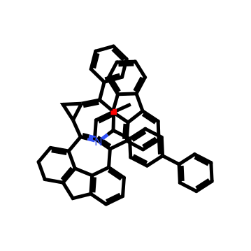 CC1C(c2ccccc2)=C2CC2C(C2=CCCC3=C2c2c(cccc2-c2ccc4c5c(cccc25)-c2ccccc2-4)C3)=NC1c1ccc(-c2ccccc2)cc1